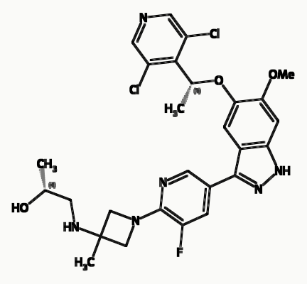 COc1cc2[nH]nc(-c3cnc(N4CC(C)(NC[C@@H](C)O)C4)c(F)c3)c2cc1O[C@H](C)c1c(Cl)cncc1Cl